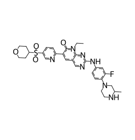 CCn1c(=O)c(-c2ccc(S(=O)(=O)C3CCOCC3)cn2)cc2cnc(Nc3ccc(N4CCNC(C)C4)c(F)c3)nc21